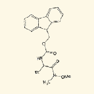 CCC(NC(=O)OCC1c2ccccc2-c2ccccc21)C(=O)N(C)OC